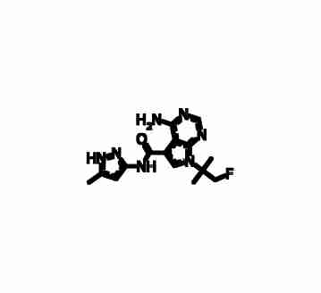 Cc1cc(NC(=O)c2cn(C(C)(C)CF)c3ncnc(N)c23)n[nH]1